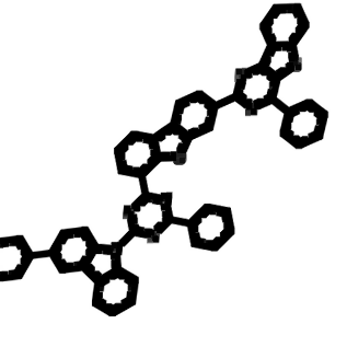 c1ccc(-c2ccc3c(c2)c2ccccc2n3-c2nc(-c3ccccc3)nc(-c3cccc4c3oc3cc(-c5nc(-c6ccccc6)c6sc7ccccc7c6n5)ccc34)n2)cc1